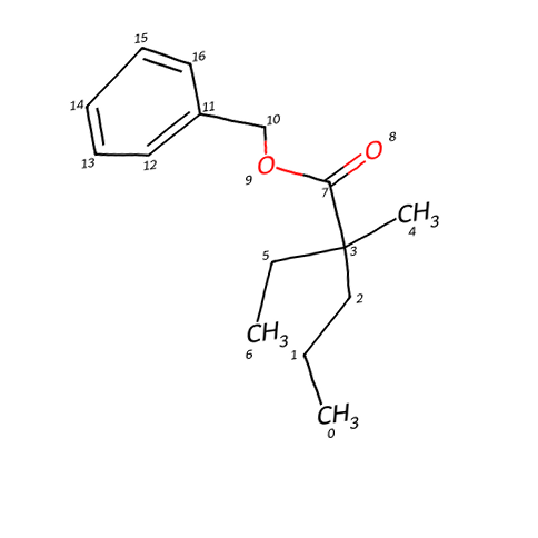 CCCC(C)(CC)C(=O)OCc1ccccc1